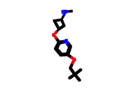 CN[C@H]1C[C@@H](Oc2ccc(OCC(C)(C)C)cn2)C1